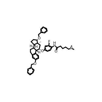 CN(C)CCCCC(=O)Nc1ccc(O[C@H]2C[C@]3(C)[C@@H](OCc4ccccc4)CC[C@H]3[C@@H]3CCc4cc(OCc5ccccc5)ccc4[C@H]32)cc1F